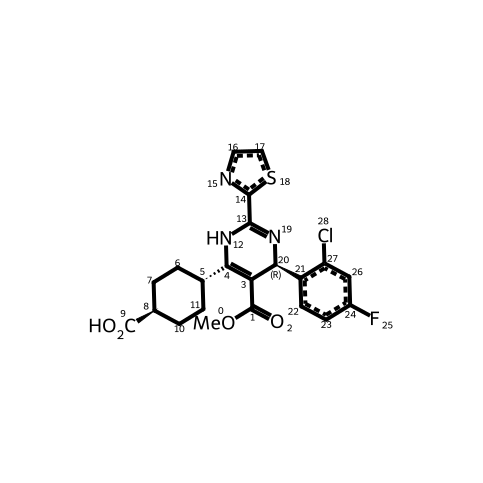 COC(=O)C1=C([C@H]2CC[C@H](C(=O)O)CC2)NC(c2nccs2)=N[C@H]1c1ccc(F)cc1Cl